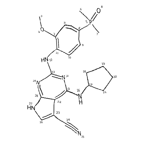 COc1cc(P(C)(C)=O)ccc1Nc1nc(NC2CCCC2)c2c(C#N)c[nH]c2n1